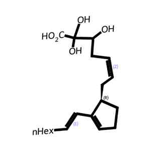 CCCCCC/C=C/C1=CCC[C@@H]1C/C=C\CC(O)C(O)(O)C(=O)O